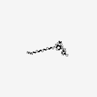 CC1(C)O[C@@H]2[C@H](O1)[C@H](Nc1nc(Cl)ns1)CO[C@@H]2COCCOCCOCCOCCN=[N+]=[N-]